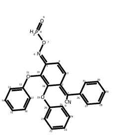 N#CC(=C1C=CC(=NO[PH2]=O)C(Oc2ccccc2)=C1Oc1ccccc1)c1ccccc1